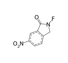 O=C1c2cc([N+](=O)[O-])ccc2CN1F